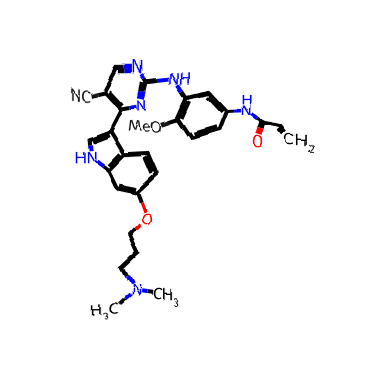 C=CC(=O)Nc1ccc(OC)c(Nc2ncc(C#N)c(-c3c[nH]c4cc(OCCCN(C)C)ccc34)n2)c1